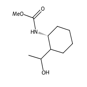 COC(=O)N[C@@H]1CCCCC1C(C)O